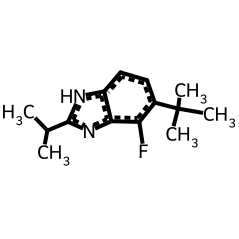 CC(C)c1nc2c(F)c(C(C)(C)C)ccc2[nH]1